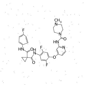 CN1CCN(C(=O)Nc2cc(Oc3cc(F)c(NC(=O)C4(C(=O)Nc5ccc(F)cc5)CC4)cc3F)ccn2)CC1